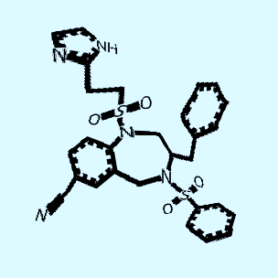 N#Cc1ccc2c(c1)CN(S(=O)(=O)c1ccccc1)C(Cc1ccccc1)CN2S(=O)(=O)CCc1ncc[nH]1